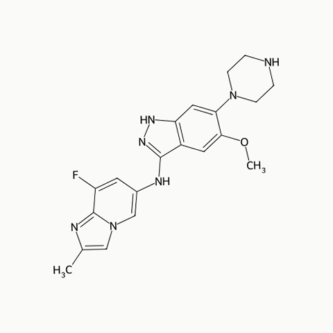 COc1cc2c(Nc3cc(F)c4nc(C)cn4c3)n[nH]c2cc1N1CCNCC1